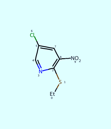 CCSc1ncc(Cl)cc1[N+](=O)[O-]